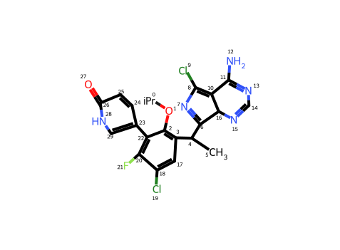 CC(C)Oc1c(C(C)C2=NC(Cl)=C3C(N)=NC=NC23)cc(Cl)c(F)c1-c1ccc(=O)[nH]c1